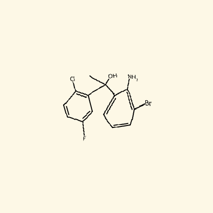 CC(O)(c1cc(F)ccc1Cl)c1cccc(Br)c1N